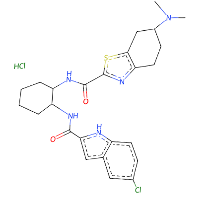 CN(C)C1CCc2nc(C(=O)NC3CCCCC3NC(=O)c3cc4cc(Cl)ccc4[nH]3)sc2C1.Cl